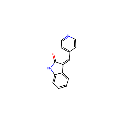 O=C1Nc2ccccc2C1=Cc1ccncc1